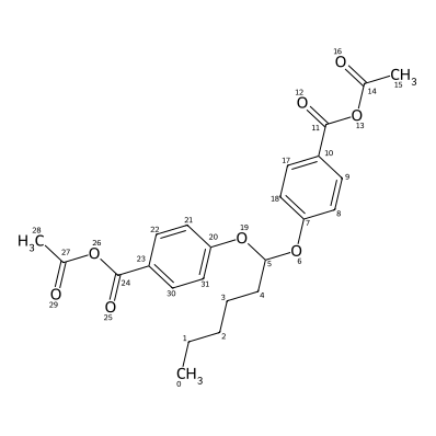 CCCCCC(Oc1ccc(C(=O)OC(C)=O)cc1)Oc1ccc(C(=O)OC(C)=O)cc1